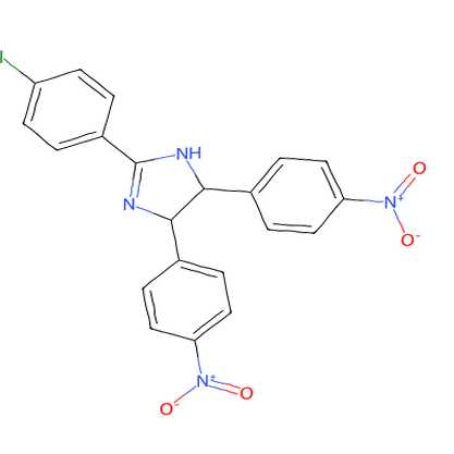 O=[N+]([O-])c1ccc(C2N=C(c3ccc(Cl)cc3)NC2c2ccc([N+](=O)[O-])cc2)cc1